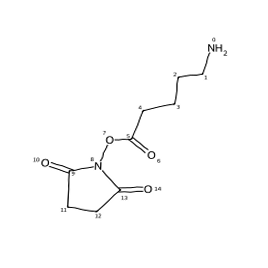 NCCCCC(=O)ON1C(=O)CCC1=O